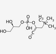 C[N+](C)(C)CC(=C=O)OP(=O)(O)OC[C@H](O)CO